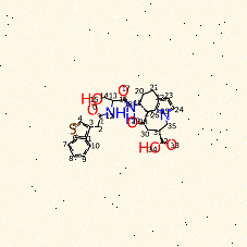 O=C(Cc1csc2ccccc12)NC(CO)C(=O)N[C@H]1CCc2ccn3c2C1C(=O)C[C@H](C(=O)O)C3